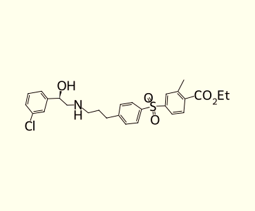 CCOC(=O)c1ccc(S(=O)(=O)c2ccc(CCCNC[C@H](O)c3cccc(Cl)c3)cc2)cc1C